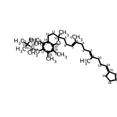 C/C(=C\CC/C(C)=C/CCC1(C)CCc2c(C)c(O[Si](C)(C)C(C)(C)C)c(C)c(C)c2O1)CCC=C1CCCC1